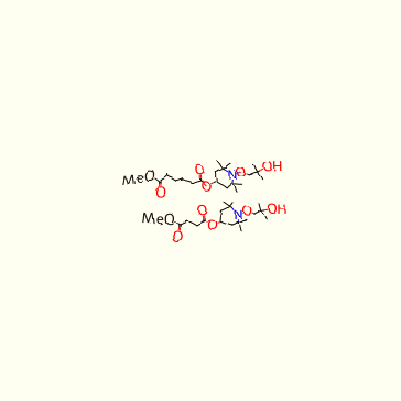 COC(=O)CCC(=O)OC1CC(C)(C)N(OCC(C)(C)O)C(C)(C)C1.COC(=O)CCCCC(=O)OC1CC(C)(C)N(OCC(C)(C)O)C(C)(C)C1